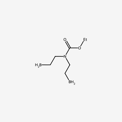 BCCN(CCB)C(=O)OCC